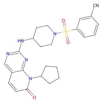 N#Cc1cccc(S(=O)(=O)N2CCC(Nc3ncc4ccc(=O)n(C5CCCC5)c4n3)CC2)c1